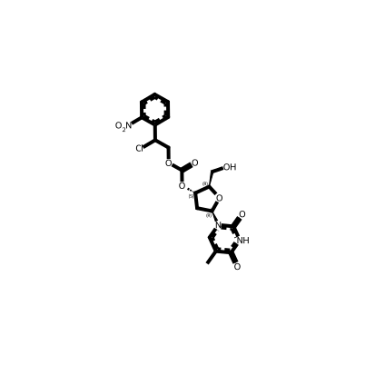 Cc1cn([C@H]2C[C@H](OC(=O)OCC(Cl)c3ccccc3[N+](=O)[O-])[C@@H](CO)O2)c(=O)[nH]c1=O